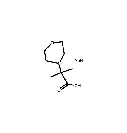 CC(C)(C(=O)O)N1CCOCC1.[NaH]